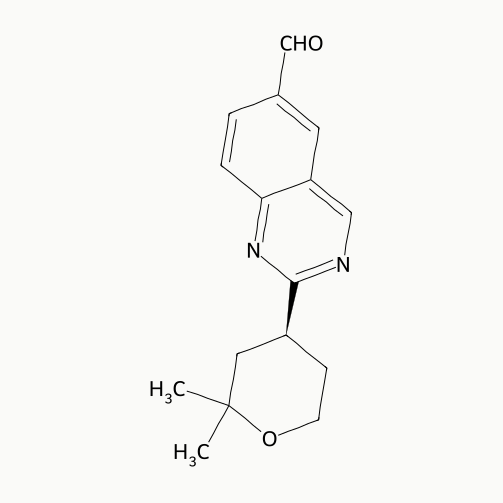 CC1(C)C[C@@H](c2ncc3cc(C=O)ccc3n2)CCO1